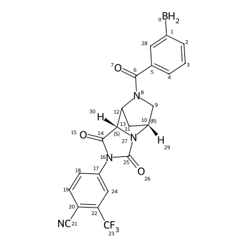 Bc1cccc(C(=O)N2C[C@H]3CC2[C@H]2C(=O)N(c4ccc(C#N)c(C(F)(F)F)c4)C(=O)N32)c1